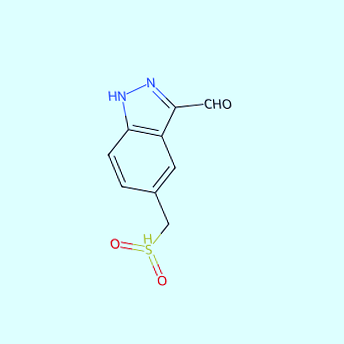 O=Cc1n[nH]c2ccc(C[SH](=O)=O)cc12